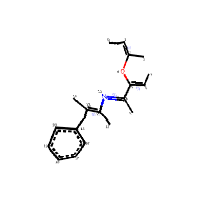 C/C=C(/C)OC(=C\C)/C(C)=N/C(C)=C(\C)c1ccccc1